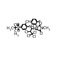 Cc1cc(S(=O)(=O)C(C)(C)C)ccc1NC(C(Cl)C(Cl)(Cl)Cl)N1C2C(=O)N(C)C(=O)[N+]21c1ccccc1F